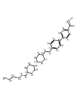 COC(C)c1ccc(-c2ccc(CCC3CCC([C@H]4CC[C@H](CCCCCF)CC4)CC3)cc2)cc1